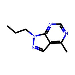 CCCn1ncc2c(C)ncnc21